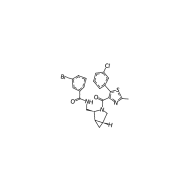 Cc1nc(C(=O)N2C[C@@H]3CC3[C@H]2CNC(=O)c2cccc(Br)c2)c(-c2cccc(Cl)c2)s1